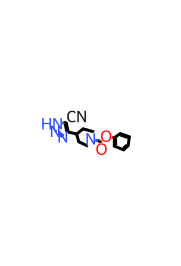 N#Cc1[nH]nnc1C1CCN(C(=O)Oc2ccccc2)CC1